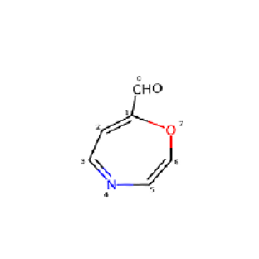 O=CC1=CC=NC=CO1